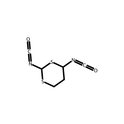 O=C=NC1CCSC(N=C=O)S1